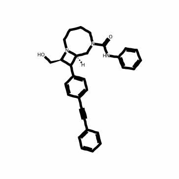 O=C(Nc1ccccc1)N1CCCCN2[C@H](CO)C(c3ccc(C#Cc4ccccc4)cc3)[C@@H]2C1